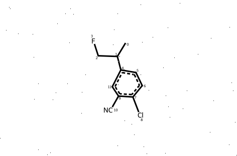 C[C](CF)c1ccc(Cl)c(C#N)c1